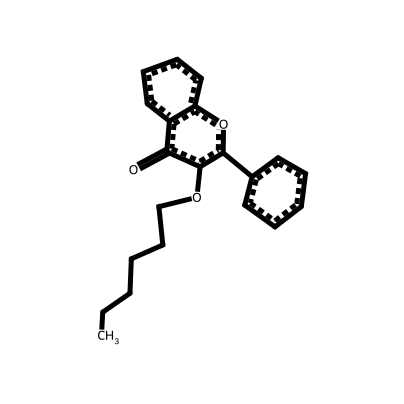 CCCCCCOc1c(-c2ccccc2)oc2ccccc2c1=O